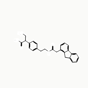 CCC(C(=O)O)c1ccc(CCNC(=O)Cc2cccc3c2Cc2ccccc2-3)cc1